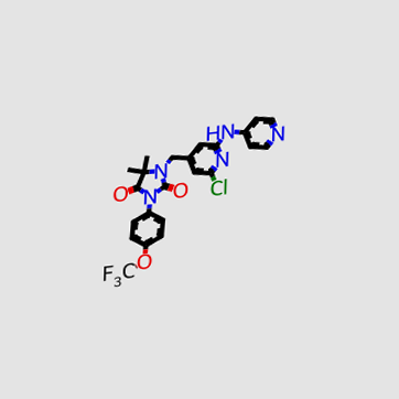 CC1(C)C(=O)N(c2ccc(OC(F)(F)F)cc2)C(=O)N1Cc1cc(Cl)nc(Nc2ccncc2)c1